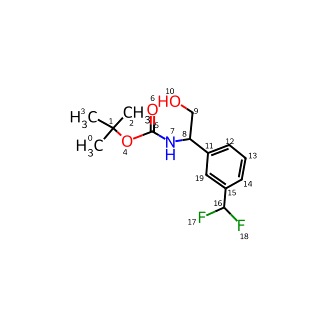 CC(C)(C)OC(=O)NC(CO)c1cccc(C(F)F)c1